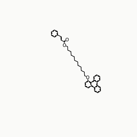 O=C(C=Cc1ccccc1)OCCCCCCCCCCCCOc1cccc2c3ccccc3c3ccccc3c12